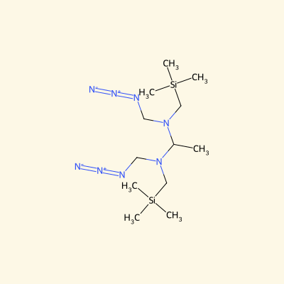 CC(N(CN=[N+]=[N-])C[Si](C)(C)C)N(CN=[N+]=[N-])C[Si](C)(C)C